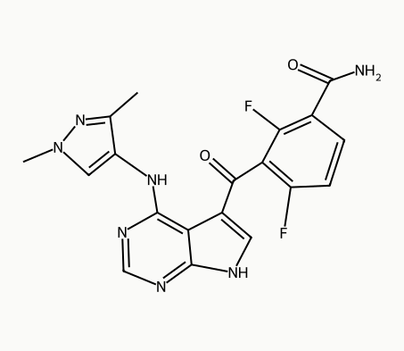 Cc1nn(C)cc1Nc1ncnc2[nH]cc(C(=O)c3c(F)ccc(C(N)=O)c3F)c12